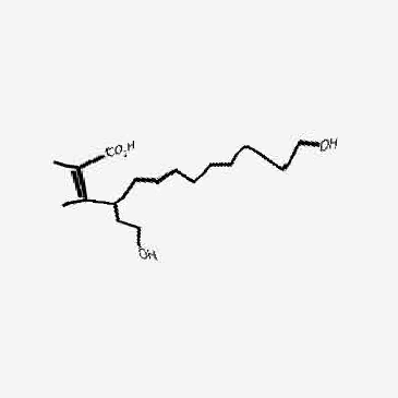 CC(C(=O)O)=C(C)C(CCO)CCCCCCCCCO